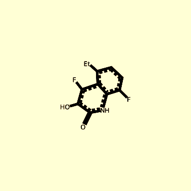 CCc1ccc(F)c2[nH]c(=O)c(O)c(F)c12